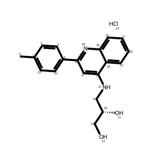 Cc1ccc(-c2cc(NC[C@H](O)CO)c3ccccc3n2)cc1.Cl